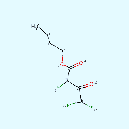 CCCCOC(=O)C(F)C(=O)C(F)F